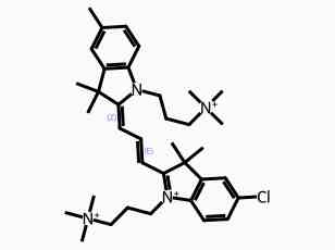 Cc1ccc2c(c1)C(C)(C)/C(=C/C=C/C1=[N+](CCC[N+](C)(C)C)c3ccc(Cl)cc3C1(C)C)N2CCC[N+](C)(C)C